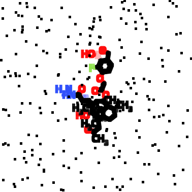 CC(=O)CC[C@]12CC[C@@H](C)[C@](C)([C@@H]1C)[C@H](OC(=O)COc1ccc3c(c1F)B(O)OC3)C[C@@](C)(/C=C/C(=O)NN)[C@@H](O)[C@@H]2C